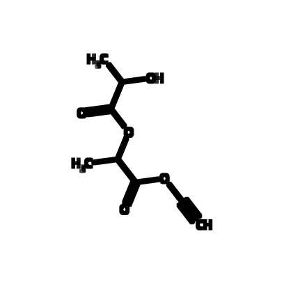 C#COC(=O)C(C)OC(=O)C(C)O